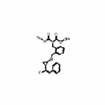 CCC(=Cc1ccccc1)C1CC1NCc1ccccc1CN(C(=O)OC(C)(C)C)C(=O)OC(C)(C)C